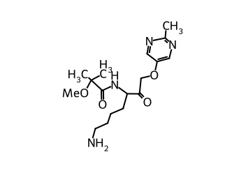 COC(C)(C)C(=O)NC(CCCCN)C(=O)COc1cnc(C)nc1